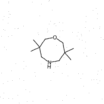 CC1(C)CNCC(C)(C)COC1